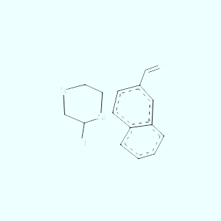 CC1CNCCN1.O=Cc1ccc2ccccc2c1